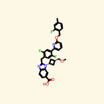 COC[C@H]1C[C@H](n2c(Cc3cc(F)c(-c4cccc(OCc5ccc(C)cc5F)n4)cc3F)nc3ccc(C(=O)O)cc32)C1